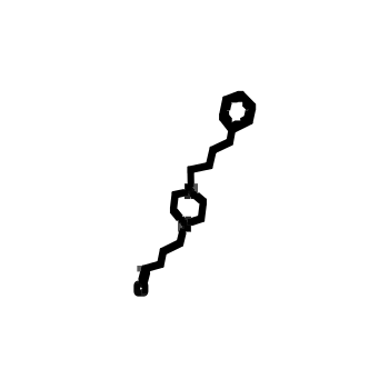 O=[C]CCCN1CCN(CCCCc2ccccc2)CC1